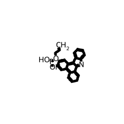 C1=Cc2c(c3c(c4ccccc24)-c2ccccc2N=3)=CC1.C=CCOP(O)O